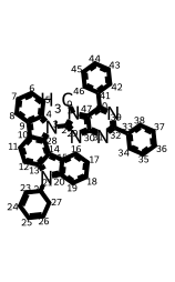 Cn1c(-n2c3ccccc3c3ccc4c(c5ccccc5n4C4C=CC=CC4)c32)nc2nc(-c3ccccc3)nc(-c3ccccc3)c21